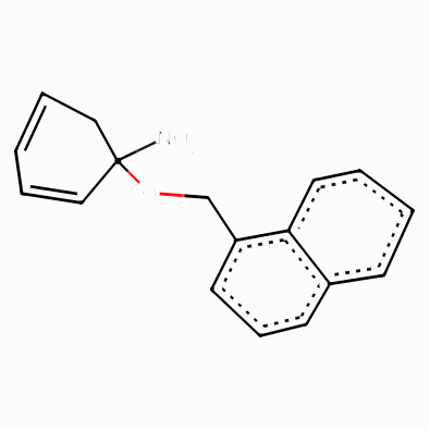 O=[N+]([O-])C1(OCc2cccc3ccccc23)C=CC=CC1